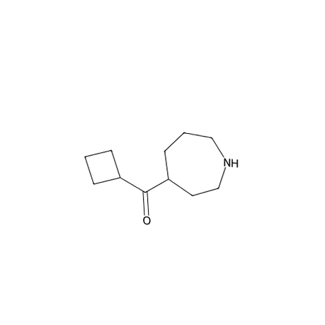 O=C(C1CCC1)C1CCCNCC1